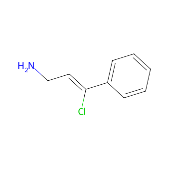 NCC=C(Cl)c1ccccc1